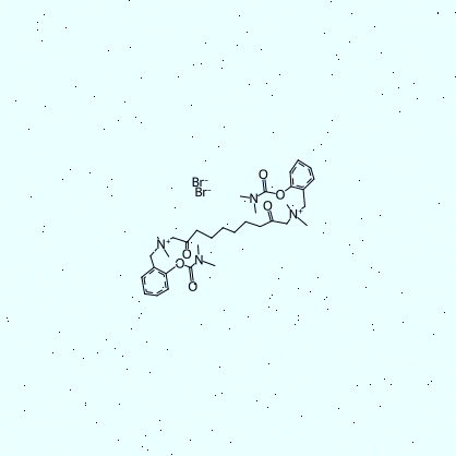 CN(C)C(=O)Oc1ccccc1C[N+](C)(C)CC(=O)CCCCCCC(=O)C[N+](C)(C)Cc1ccccc1OC(=O)N(C)C.[Br-].[Br-]